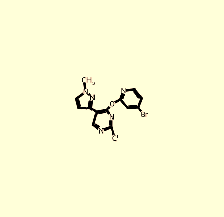 Cn1ccc(-c2cnc(Cl)nc2Oc2cc(Br)ccn2)n1